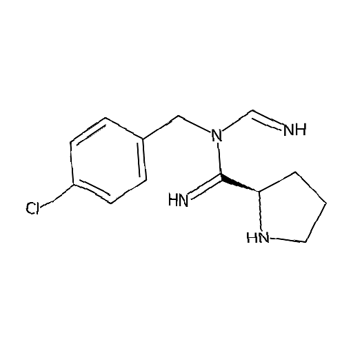 N=CN(Cc1ccc(Cl)cc1)C(=N)[C@H]1CCCN1